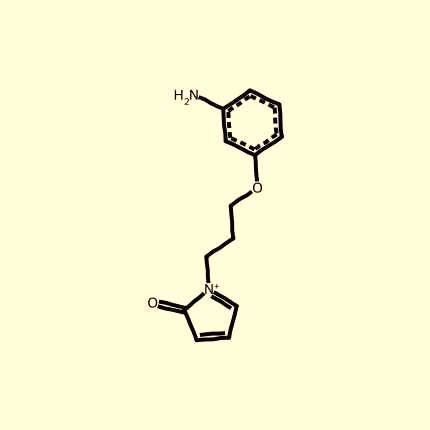 Nc1cccc(OCCC[N+]2=CC=CC2=O)c1